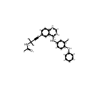 CC(=O)NC(C)(C)C#Cc1ccc2ncnc(Nc3ccc(Oc4ccccc4)c(C)c3)c2c1